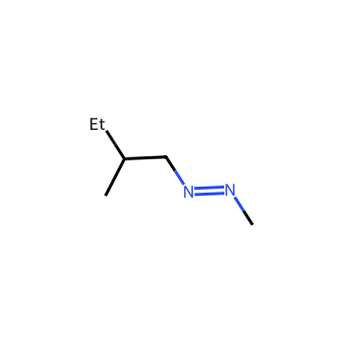 CCC(C)CN=NC